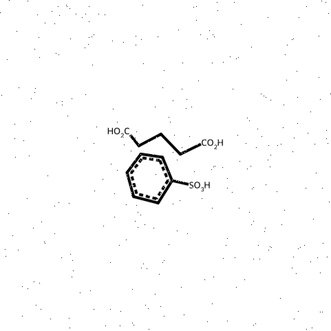 O=C(O)CCCC(=O)O.O=S(=O)(O)c1ccccc1